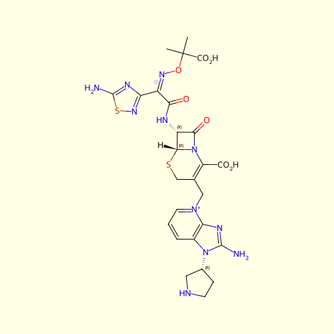 CC(C)(O/N=C(\C(=O)N[C@@H]1C(=O)N2C(C(=O)O)=C(C[n+]3cccc4c3nc(N)n4[C@@H]3CCNC3)CS[C@H]12)c1nsc(N)n1)C(=O)O